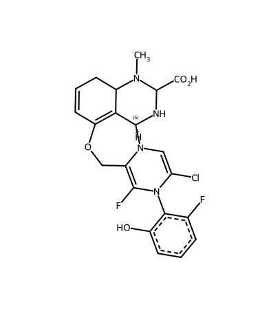 CN1C2CC=CC3=C2[C@@H](NC1C(=O)O)N1C=C(Cl)N(c2c(O)cccc2F)C(F)=C1CO3